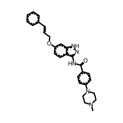 CN1CCN(c2ccc(C(=O)Nc3n[nH]c4cc(OCC=Cc5ccccc5)ccc34)cc2)CC1